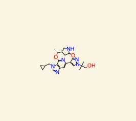 C[C@@H](Oc1nc(-c2cnn(C(C)(C)CO)c2)cc2ncn(CC3CC3)c12)[C@H]1CNC(=O)C1